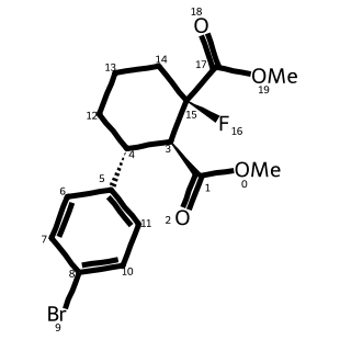 COC(=O)[C@H]1[C@H](c2ccc(Br)cc2)CCC[C@]1(F)C(=O)OC